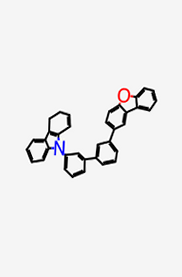 C1=Cc2c(c3ccccc3n2-c2cccc(-c3cccc(-c4ccc5oc6ccccc6c5c4)c3)c2)CC1